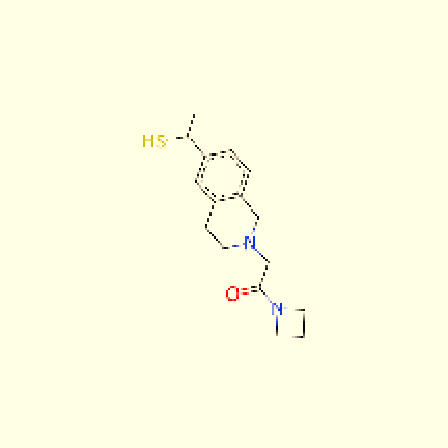 CC(S)c1ccc2c(c1)CCN(CC(=O)N1CCC1)C2